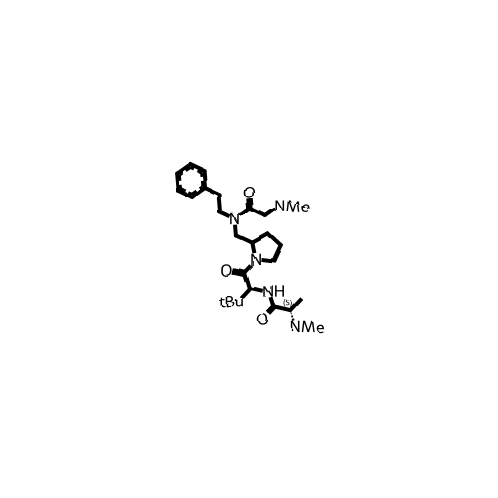 CNCC(=O)N(CCc1ccccc1)CC1CCCN1C(=O)C(NC(=O)[C@H](C)NC)C(C)(C)C